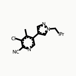 Cc1c(-c2cnn(CC(C)C)c2)cnc(C#N)c1Cl